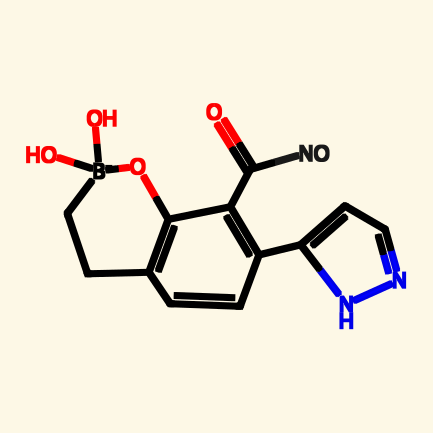 O=NC(=O)c1c(-c2ccn[nH]2)ccc2c1O[B-](O)(O)CC2